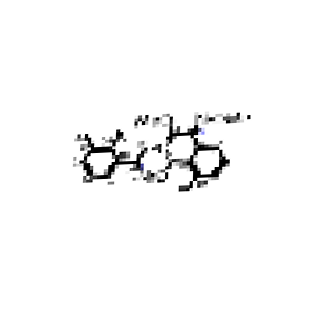 CO/N=C(/C(=O)OC)c1cccc(C)c1CO/N=C(\C)c1cccc(C)c1F